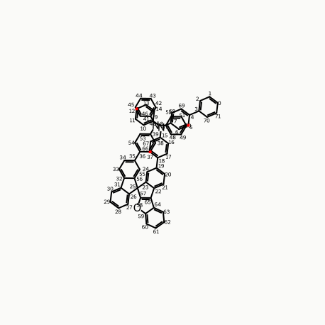 c1ccc(-c2ccc(N(c3ccccc3)c3ccc(-c4ccc5c(c4)C4(c6ccccc6-c6ccc(-c7ccc(N(c8ccccc8)c8ccccc8)cc7)cc64)c4oc6ccccc6c4-5)cc3)cc2)cc1